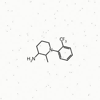 CC1C(N)CCCN1c1ccccc1C(F)(F)F